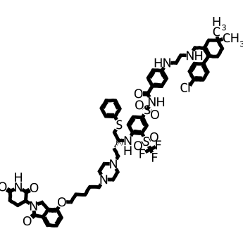 CC1(C)CCC(c2ccc(Cl)cc2)=C(CNCCNc2ccc(C(=O)NS(=O)(=O)c3ccc(N[C@H](CCN4CCN(CCCCCOc5cccc6c5CN(C5CCC(=O)NC5=O)C6=O)CC4)CSc4ccccc4)c(S(=O)(=O)C(F)(F)F)c3)cc2)C1